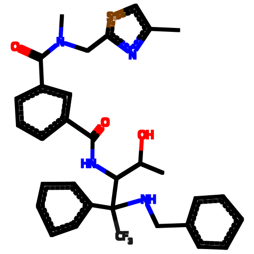 Cc1csc(CN(C)C(=O)c2cccc(C(=O)NC(C(C)O)C(NCc3ccccc3)(c3ccccc3)C(F)(F)F)c2)n1